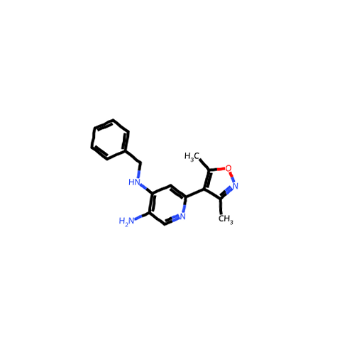 Cc1noc(C)c1-c1cc(NCc2ccccc2)c(N)cn1